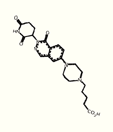 O=C(O)CCCCN1CCN(c2ccc3c(=O)n(C4CCC(=O)NC4=O)ncc3c2)CC1